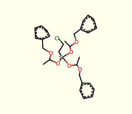 CC(OCc1ccccc1)O[Si](CCCl)(OC(C)OCc1ccccc1)OC(C)OCc1ccccc1